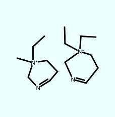 CC[N+]1(C)CCC=NC1.CC[N+]1(CC)CCC=NC1